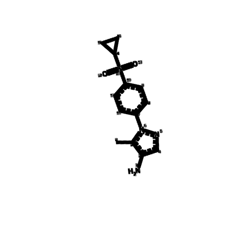 Cc1c(N)cnn1-c1ccc(S(=O)(=O)C2CC2)cc1